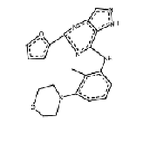 Cc1c(Nc2nc(-c3ccco3)nc3cn[nH]c23)cccc1N1CCOCC1